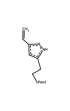 C=Cc1cc(CCCCCCC)[nH]n1